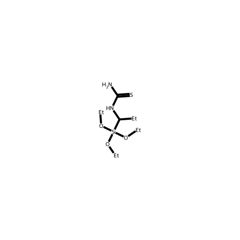 CCO[Si](OCC)(OCC)C(CC)NC(N)=S